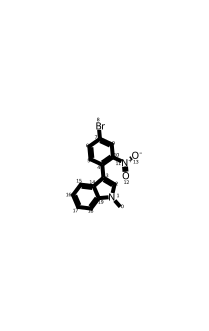 Cn1cc(-c2ccc(Br)cc2[N+](=O)[O-])c2ccccc21